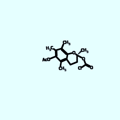 CC(=O)Oc1c(C)c(C)c2c(c1C)CC[C@](C)(OC(=O)Cl)O2